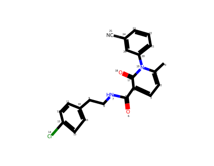 Cc1ccc(C(=O)NCCc2ccc(Cl)cc2)c(=O)n1-c1cccc(C#N)c1